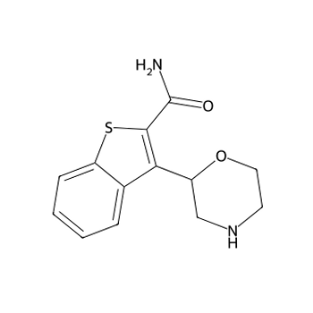 NC(=O)c1sc2ccccc2c1C1CNCCO1